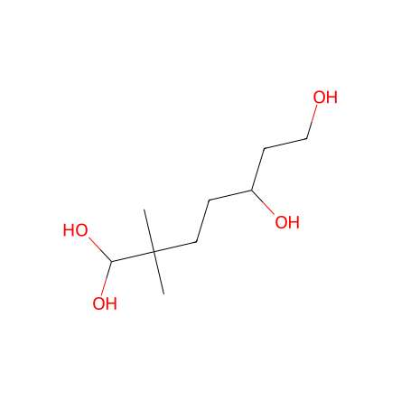 CC(C)(CCC(O)CCO)C(O)O